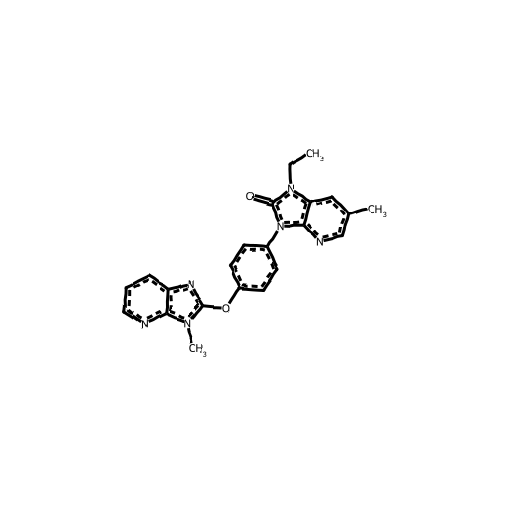 CCn1c(=O)n(-c2ccc(Oc3nc4cccnc4n3C)cc2)c2ncc(C)cc21